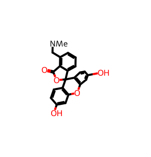 CNCc1cccc2c1C(=O)OC21c2ccc(O)cc2Oc2cc(O)ccc21